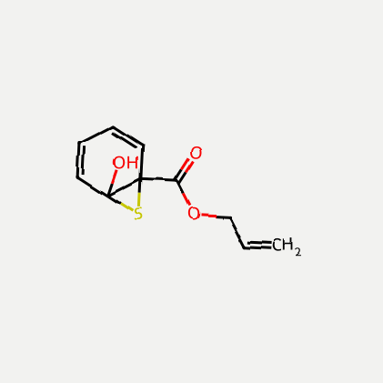 C=CCOC(=O)C12C=CC=CC1(O)S2